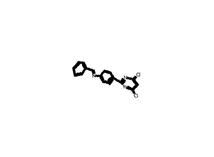 Clc1cc(Cl)nc(-c2ccc(N=Cc3ccccc3)cc2)n1